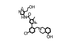 Cc1c(C(=O)Nc2cnn(C)c2CCO)cc(-c2cc(Cl)ccc2CN2CCc3c(O)cccc3C2)n1C